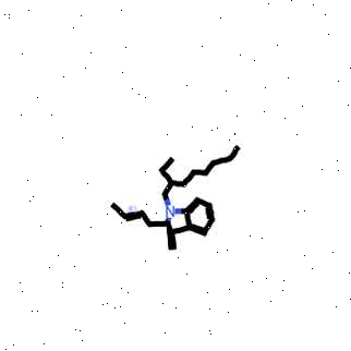 C=C1c2ccccc2N(CC(CC)CCCCCC)C1C/C=C/C